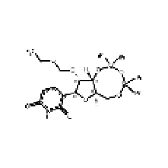 CC(C)[Si]1(C(C)C)OC[C@H]2O[C@@H](n3ccc(=O)[nH]c3=O)[C@H](OCOCC(F)(F)F)[C@@H]2O[Si](C(C)C)(C(C)C)O1